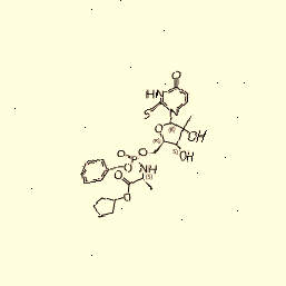 C[C@H](NP(=O)(OC[C@H]1O[C@@H](n2ccc(=O)[nH]c2=S)C(C)(O)[C@H]1O)Oc1ccccc1)C(=O)OC1CCCC1